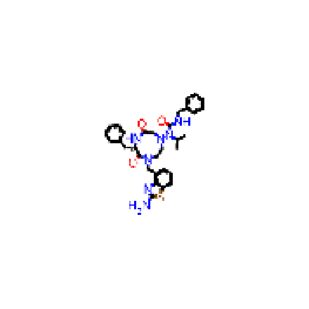 CC(C)N(C(=O)NCc1ccccc1)N1CCN(Cc2cccc3sc(N)nc23)C(=O)[C@H](Cc2ccccc2)NC(=O)C1